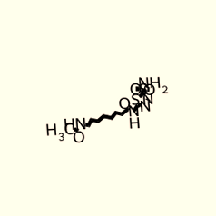 CC(=O)NCCCCCCCC(=O)Nc1nnc(S(N)(=O)=O)s1